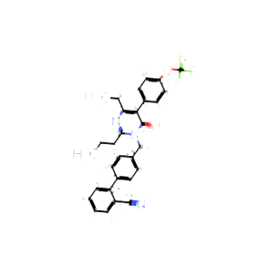 CCCc1nc(CC)c(-c2ccc(OC(F)(F)F)cc2)c(=O)n1Cc1ccc(-c2ccccc2C#N)cc1